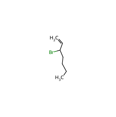 C=CC(Br)CCCC